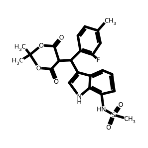 Cc1ccc(C(c2c[nH]c3c(NS(C)(=O)=O)cccc23)C2C(=O)OC(C)(C)OC2=O)c(F)c1